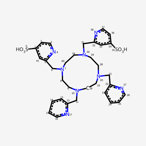 O=S(=O)(O)c1ccnc(CN2CCN(Cc3ccccn3)CCN(Cc3ccccn3)CCN(Cc3cc(S(=O)(=O)O)ccn3)CC2)c1